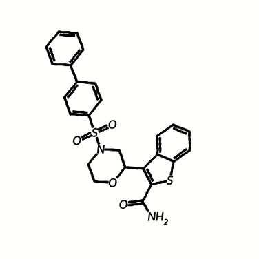 NC(=O)c1sc2ccccc2c1C1CN(S(=O)(=O)c2ccc(-c3ccccc3)cc2)CCO1